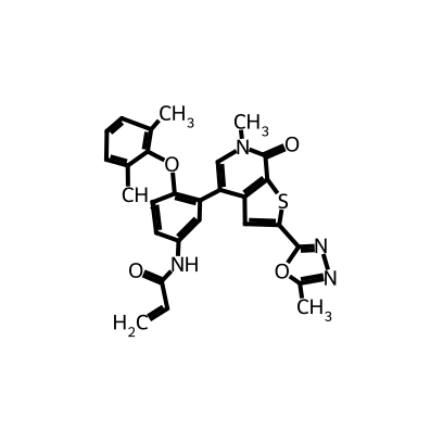 C=CC(=O)Nc1ccc(Oc2c(C)cccc2C)c(-c2cn(C)c(=O)c3sc(-c4nnc(C)o4)cc23)c1